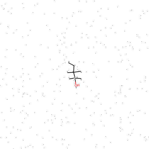 CCC(C)(C)[Si](C)(C)O